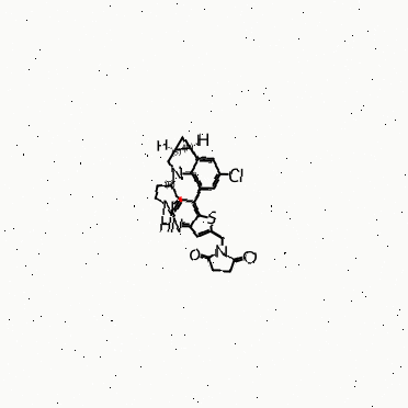 O=C1CCC(=O)N1Cc1cc2nccc(-c3cc(Cl)cc4c3N([C@@H]3CCNC3)C[C@H]3C[C@@H]43)c2s1